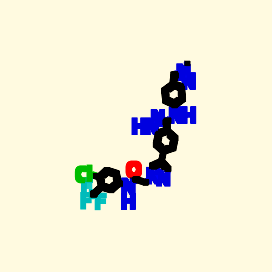 Cn1cc2ccc(Nc3n[nH]c4cc(-c5cnn(CC(=O)Nc6ccc(Cl)c(C(F)(F)F)c6)c5)ccc34)cc2n1